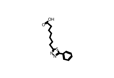 O=C(O)CCCCCCc1nnc(-c2ccccc2)s1